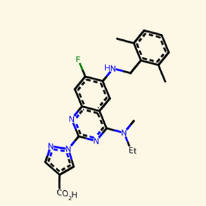 CCN(C)c1nc(-n2cc(C(=O)O)cn2)nc2cc(F)c(NCc3c(C)cccc3C)cc12